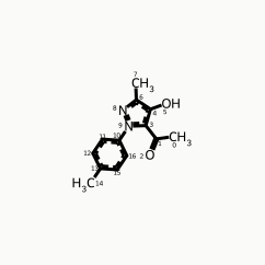 CC(=O)c1c(O)c(C)nn1-c1ccc(C)cc1